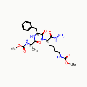 C[C@H](NC(=O)OC(C)(C)C)C(=O)N[C@@H](Cc1ccccc1)C(=O)N[C@@H](CCCCNC(=O)OC(C)(C)C)C(=O)NN